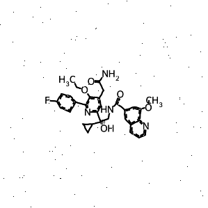 CCOc1c(CC(N)=O)cc([C@@](O)(CNC(=O)c2cc(OC)c3ncccc3c2)C2CC2)nc1-c1ccc(F)cc1